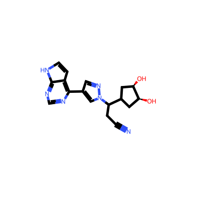 N#CCC(C1C[C@@H](O)[C@@H](O)C1)n1cc(-c2ncnc3[nH]ccc23)cn1